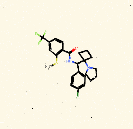 CSc1cc(C(F)(F)F)ccc1C(=O)NC(c1ccc(Cl)cc1)C1(N2CCCC2)CCC1